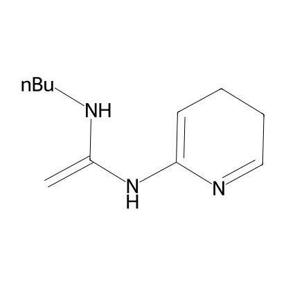 C=C(NCCCC)NC1=CCCC=N1